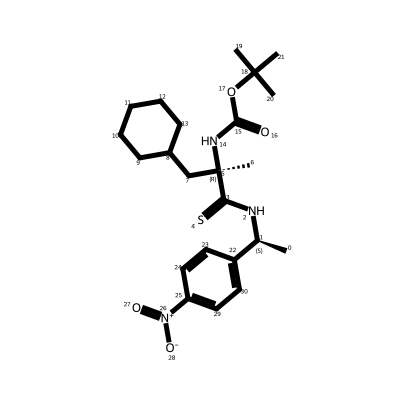 C[C@H](NC(=S)[C@@](C)(CC1CCCCC1)NC(=O)OC(C)(C)C)c1ccc([N+](=O)[O-])cc1